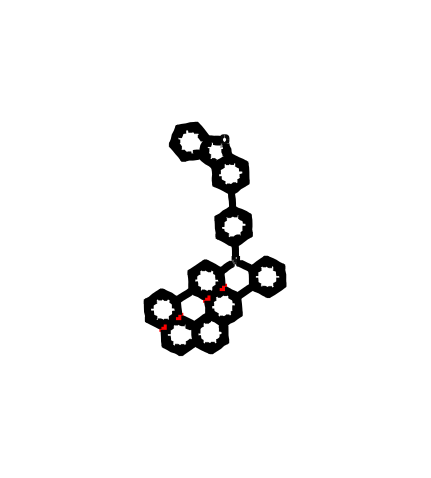 c1ccc(-c2ccc(N(c3ccc(-c4ccc5oc6ccccc6c5c4)cc3)c3ccccc3-c3ccc4c(ccc5ccccc54)c3)cc2)cc1